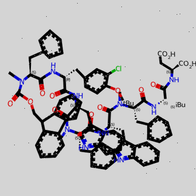 CC[C@H](C)[C@H](NC(=O)[C@H](Cc1ccccc1)N(C)C(=O)[C@H](Cc1c[nH]c2ccccc12)NC(=O)[C@H](Cc1ccccc1)N(C)C(=O)[C@H](Cc1c[nH]c2ccccc12)NC(=O)[C@@H](Cc1ccc(OC(C)(C)C)c(Cl)c1)NC(=O)[C@H](Cc1ccccc1)N(C)C(=O)OCC1c2ccccc2-c2ccccc21)C(=O)N[C@@H](CC(=O)O)C(=O)O